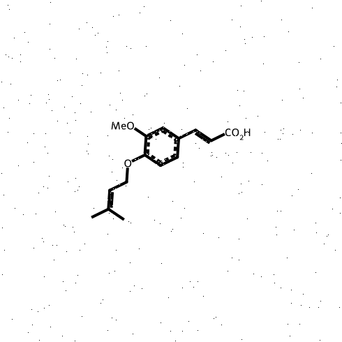 COc1cc(/C=C/C(=O)O)ccc1OCC=C(C)C